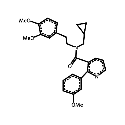 COc1cccc(-c2ncccc2C(=O)N(CCc2ccc(OC)c(OC)c2)CC2CC2)c1